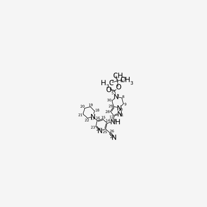 CC(C)(C)OC(=O)N1CCn2nc(Nc3cc(N4CCCCC4)cnc3C#N)cc2C1